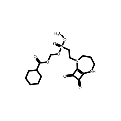 [CH2]OP(=O)(CCN1CCCNc2c1c(=O)c2=O)OCOC(=O)C1CCCCC1